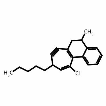 CCCCCC1C#CC2=C(C(Cl)=C1)c1ccccc1C(C)C2